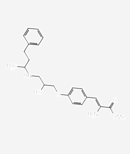 COC(=O)C(N)=Cc1ccc(OCC(O)CNC(C)CCc2ccccc2)cc1